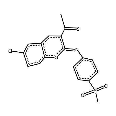 CC(=S)c1cc2cc(Cl)ccc2o/c1=N\c1ccc(S(C)(=O)=O)cc1